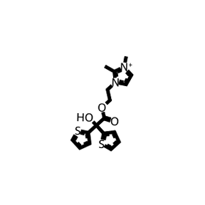 Cc1n(CCOC(=O)C(O)(c2cccs2)c2cccs2)cc[n+]1C